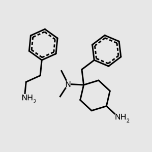 CN(C)C1(Cc2ccccc2)CCC(N)CC1.NCCc1ccccc1